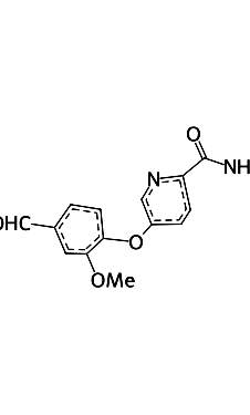 COc1cc(C=O)ccc1Oc1ccc(C(N)=O)nc1